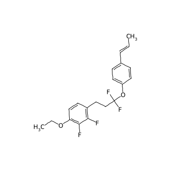 C/C=C/c1ccc(OC(F)(F)CCc2ccc(OCC)c(F)c2F)cc1